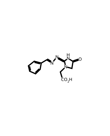 O=C(O)CN1CC(=O)NC1=NN=Cc1ccccc1